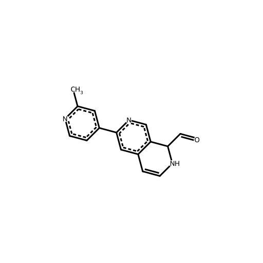 Cc1cc(-c2cc3c(cn2)C(C=O)NC=C3)ccn1